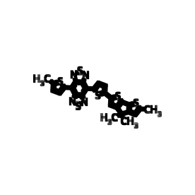 Cc1ccc(-c2c3c(c(-c4ccc(-c5cc6c(s5)-c5sc(C)cc5C6(C)C)s4)c4nsnc24)N=S=N3)s1